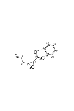 C=CCC1OC1C(=O)Oc1ccccc1